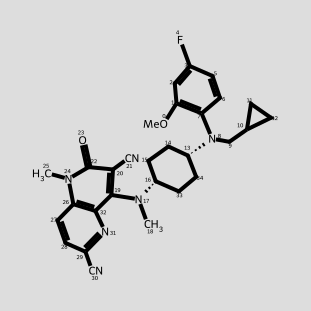 COc1cc(F)ccc1N(CC1CC1)[C@H]1CC[C@@H](N(C)c2c(C#N)c(=O)n(C)c3ccc(C#N)nc23)CC1